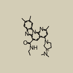 CCNC(=O)c1cc2c(N3CC[C@H](N(C)C)C3)cc(C)nc2n2c1nc1cc(C)c(C)cc12